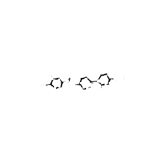 O=C(Oc1ccc(-c2ccc(O)cc2)cc1)c1ccc(I)cc1